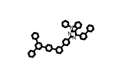 c1ccc(-c2cc(-c3ccccc3)cc(-c3ccc(-c4cccc(-c5ccc(-c6nc(-c7cccc(-c8ccccc8)c7)c7c8ccccc8n(-c8ccccc8)c7n6)cc5)c4)cc3)c2)cc1